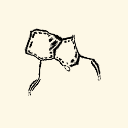 N#Cc1cccc2nc(C=O)oc12